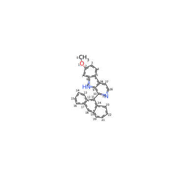 COc1ccc2c(c1)[nH]c1c(-c3c4ccccc4cc4ccccc34)nccc12